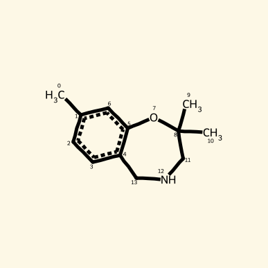 Cc1ccc2c(c1)OC(C)(C)CNC2